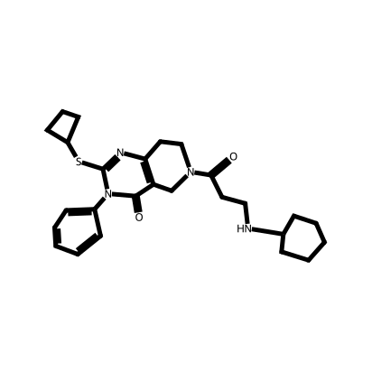 O=C(CCNC1CCCCC1)N1CCc2nc(SC3CCC3)n(-c3ccccc3)c(=O)c2C1